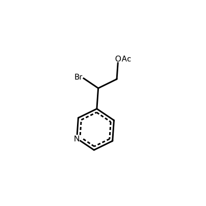 CC(=O)OCC(Br)c1cccnc1